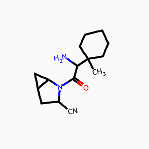 CC1(C(N)C(=O)N2C(C#N)CC3CC32)CCCCC1